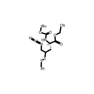 CC(C)SSC(CN=[N+]=[N-])C[C@H](NC(=O)OC(C)(C)C)C(=O)OCC#N